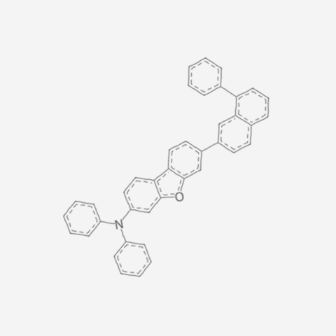 c1ccc(-c2cccc3ccc(-c4ccc5c(c4)oc4cc(N(c6ccccc6)c6ccccc6)ccc45)cc23)cc1